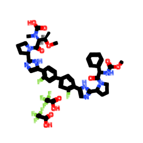 COC(=O)NC(C(=O)N1CCCC1c1ncc(-c2ccc(-c3ccc(-c4cnc(C5CCCN5C(=O)[C@H]([C@@H](C)OC)N(C)C(=O)O)[nH]4)c(F)c3)cc2F)[nH]1)c1ccccc1.O=C(O)C(F)(F)F.O=C(O)C(F)(F)F